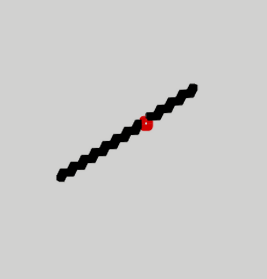 CCCCCCCCCCCCCCCCOCCCCCCCCC